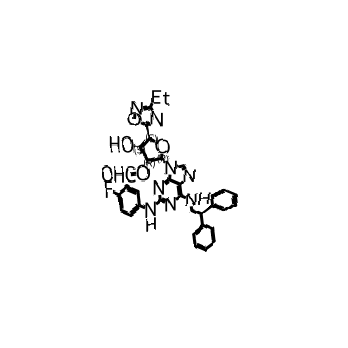 CCc1noc([C@H]2O[C@@H](n3cnc4c(NCC(c5ccccc5)c5ccccc5)nc(Nc5ccc(F)cc5)nc43)[C@H](OC=O)[C@@H]2O)n1